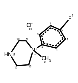 C[N+]1(c2ccc(F)cc2)CCNCC1.[Cl-]